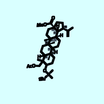 C=C(C)[C@@H]1CC[C@]2(C(=O)OC)CC[C@]3(C)[C@H](CC[C@@H]4[C@@]5(C)CCC(O[Si](C)(C)C(C)(C)C)C(C)(COC(C)=O)[C@@H]5CC[C@]43C)[C@@H]12